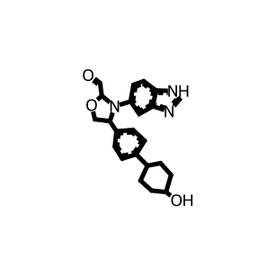 O=CC1OCC(c2ccc(C3CCC(O)CC3)cc2)N1c1ccc2[nH]cnc2c1